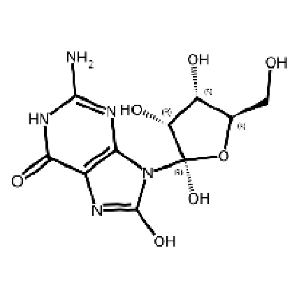 Nc1nc2c(nc(O)n2[C@]2(O)O[C@H](CO)[C@@H](O)[C@H]2O)c(=O)[nH]1